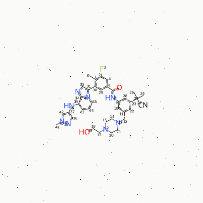 Cc1c(F)cc(C(=O)Nc2cc(CN3CCN(CCO)CC3)cc(C(C)(C)C#N)c2)cc1-c1cnc2c(Nc3cnn(C)c3)cccn12